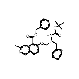 Cc1cc2c(C(=O)OCc3ccccc3)c(OC[C@@H](Cc3ccccc3)NC(=O)OC(C)(C)C)ccc2cn1